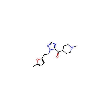 Cc1ccc(CCn2ncnc2C(=O)C2CCN(C)CC2)o1